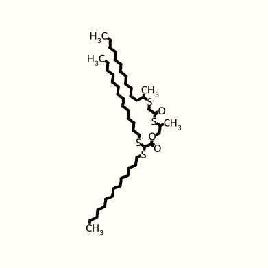 CCCCCCCCCCCCCCSC(SCCCCCCCCCCCCCC)C(=O)OCC(C)SC(=O)CSC(C)CCCCCCCCCCCC